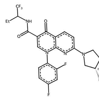 CCC(NC(=O)c1cn(-c2ccc(F)cc2F)c2nc(N3CC[C@H](F)C3)ccc2c1=O)C(F)(F)F